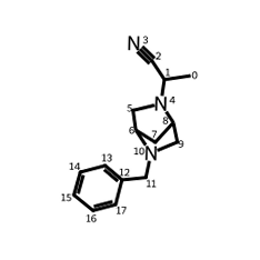 CC(C#N)N1CC2CC1CN2Cc1ccccc1